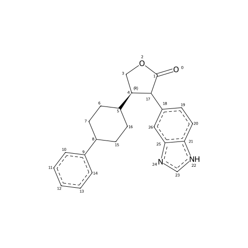 O=C1OC[C@H](C2CCC(c3ccccc3)CC2)C1c1ccc2[nH]cnc2c1